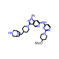 COC1CCN(c2nccc(Nc3cc4c(cn3)c(N3CCC(CN5C6CCC5CNC6)CC3)nn4C(C)C)n2)CC1